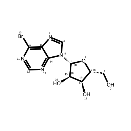 OC[C@H]1O[C@@H](n2cnc3c(Br)ncnc32)[C@H](O)[C@@H]1O